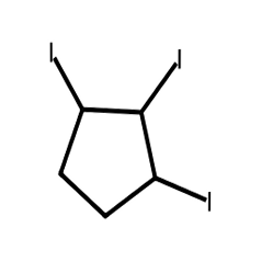 IC1CCC(I)C1I